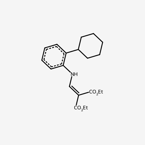 CCOC(=O)C(=CNc1ccccc1C1CCCCC1)C(=O)OCC